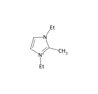 CCn1cc[n+](CC)c1C